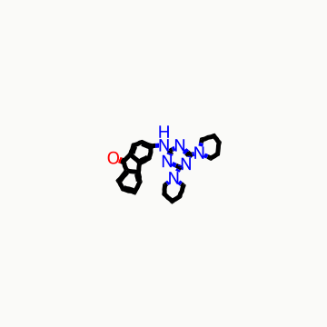 O=C1c2ccccc2-c2cc(Nc3nc(N4CCCCC4)nc(N4CCCCC4)n3)ccc21